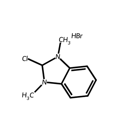 Br.CN1c2ccccc2N(C)C1Cl